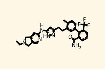 CCN1Cc2cnc(Nc3cc(CCc4cc(-c5c(C(N)=O)cccc5C(F)(F)F)ccc4C)n[nH]3)cc2C1